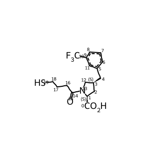 O=C(O)[C@@H]1C[C@H](Cc2cccc(C(F)(F)F)c2)CN1C(=O)CCCS